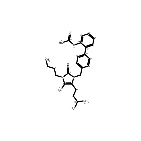 CCCCn1c(C)c(CCC(C)C)n(Cc2ccc(-c3ccccc3OC(=O)O)cc2)c1=O